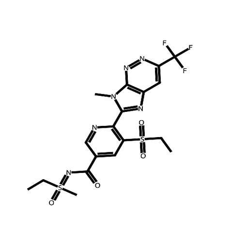 CCS(=O)(=O)c1cc(C(=O)N=S(C)(=O)CC)cnc1-c1nc2cc(C(F)(F)F)nnc2n1C